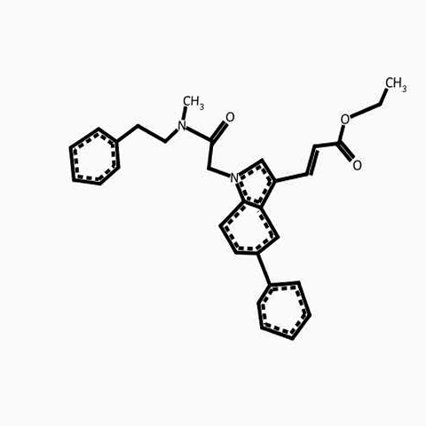 CCOC(=O)C=Cc1cn(CC(=O)N(C)CCc2ccccc2)c2ccc(-c3ccccc3)cc12